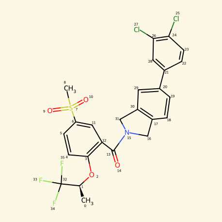 C[C@H](Oc1ccc(S(C)(=O)=O)cc1C(=O)N1Cc2ccc(-c3ccc(Cl)c(Cl)c3)cc2C1)C(F)(F)F